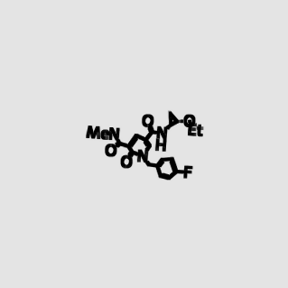 CCO[C@H]1C[C@@H]1NC(=O)c1cc(C(=O)NC)c(=O)n(Cc2ccc(F)cc2)c1